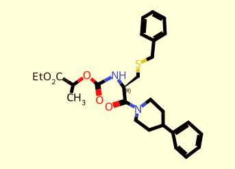 CCOC(=O)C(C)OC(=O)N[C@@H](CSCc1ccccc1)C(=O)N1CCC(c2ccccc2)CC1